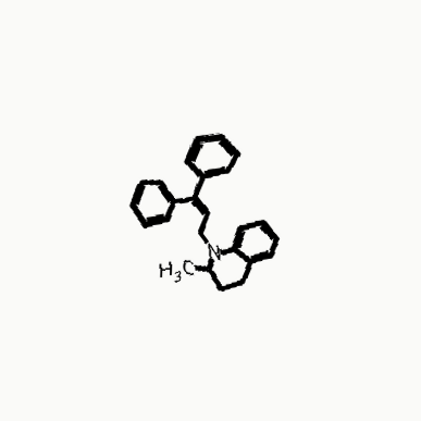 CC1CCc2ccccc2N1CC=C(c1ccccc1)c1ccccc1